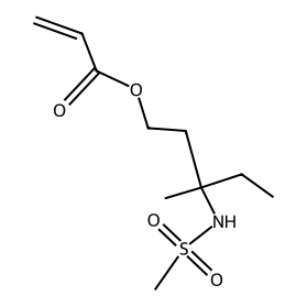 C=CC(=O)OCCC(C)(CC)NS(C)(=O)=O